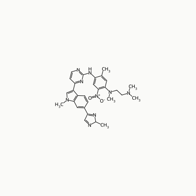 Cc1cc(N(C)CCN(C)C)c([N+](=O)[O-])cc1Nc1nccc(-c2cn(C)c3cc(C4=NC(C)N=C4)ccc23)n1